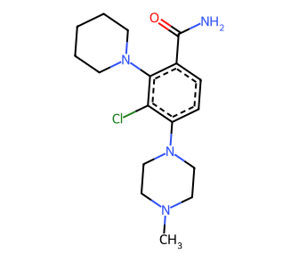 CN1CCN(c2ccc(C(N)=O)c(N3CCCCC3)c2Cl)CC1